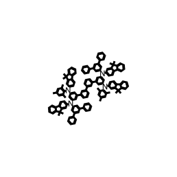 Cc1cc(C)c(N(c2cc(-c3cccc(-c4cccc(-c5cc(N(c6cc(-c7ccccc7)cc(-c7ccccc7)c6)c6ccc7c(c6)C(C)(C)c6ccccc6-7)cc(N(c6ccc7c(c6)C(C)(C)c6ccccc6-7)c6c(C)cc(C)cc6C)c5)c4)c3)cc(N(c3cc(-c4ccccc4)cc(-c4ccccc4)c3)c3ccc4c(c3)C(C)(C)c3ccccc3-4)c2)c2ccc3c(c2)C(C)(C)c2ccccc2-3)c(C)c1